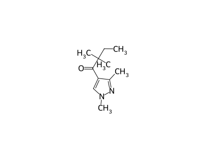 CCC(C)(C)C(=O)c1cn(C)nc1C